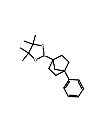 CC1(C)OB(C23CCC(c4ccccc4)(CC2)C3)OC1(C)C